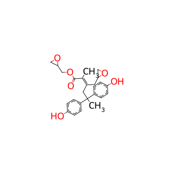 CC(C(=O)OCC1CO1)=C(CC1CO1)CC(C)(c1ccc(O)cc1)c1ccc(O)cc1